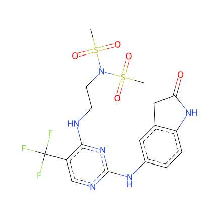 CS(=O)(=O)N(CCNc1nc(Nc2ccc3c(c2)CC(=O)N3)ncc1C(F)(F)F)S(C)(=O)=O